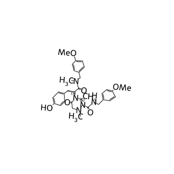 COc1ccc(CNC(=O)N2[C@@H](C)N([C@@H](Cc3ccc(O)cc3)C(=O)N(C)Cc3ccc(OC)cc3)C(=O)CN2C)cc1